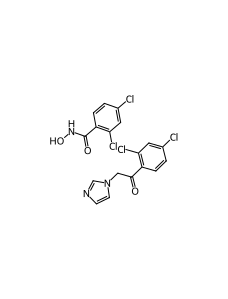 O=C(Cn1ccnc1)c1ccc(Cl)cc1Cl.O=C(NO)c1ccc(Cl)cc1Cl